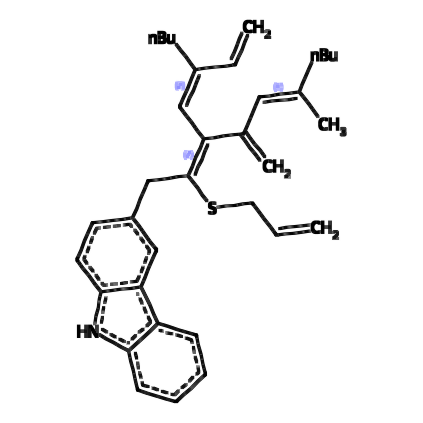 C=CCS/C(Cc1ccc2[nH]c3ccccc3c2c1)=C(/C=C(\C=C)CCCC)C(=C)/C=C(\C)CCCC